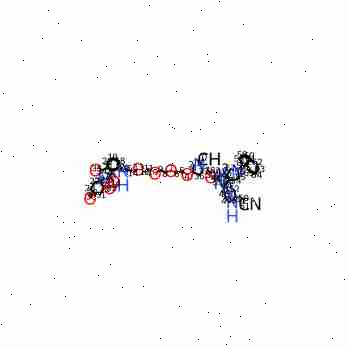 CN1C[C@H](OCCOCCOCCOCCNc2cccc3c2C(=O)N(C2CCC(=O)CC2=O)C3=O)C[C@H]1COc1nc2c(c(N3CCN[C@@H](CC#N)C3)n1)CCN(c1cccc3ccccc13)C2